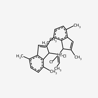 C[CH]=[Hf]([Cl])([Cl])([CH]1C(C)=Cc2c(C)ccc(C)c21)[CH]1C(C)=Cc2c(C)ccc(C)c21